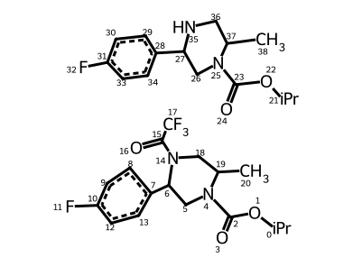 CC(C)OC(=O)N1CC(c2ccc(F)cc2)N(C(=O)C(F)(F)F)CC1C.CC(C)OC(=O)N1CC(c2ccc(F)cc2)NCC1C